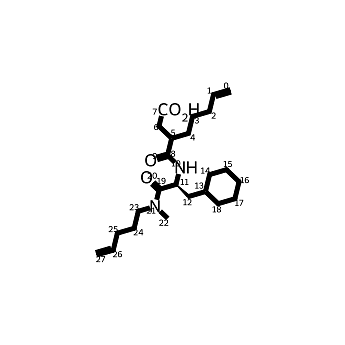 C=CCCCC(CC(=O)O)C(=O)N[C@@H](CC1CCCCC1)C(=O)N(C)CCCC=C